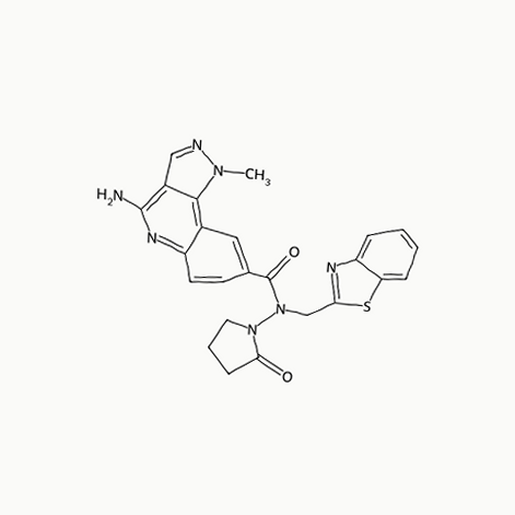 Cn1ncc2c(N)nc3ccc(C(=O)N(Cc4nc5ccccc5s4)N4CCCC4=O)cc3c21